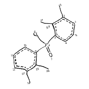 Cc1cccc(P(=O)(Cl)c2cccc(C)c2C)c1C